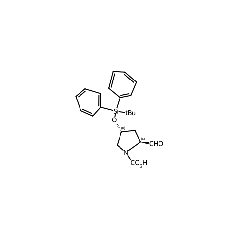 CC(C)(C)[Si](O[C@@H]1C[C@@H](C=O)N(C(=O)O)C1)(c1ccccc1)c1ccccc1